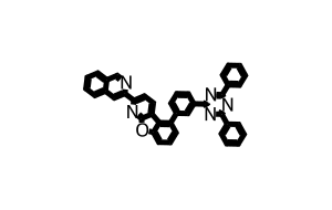 c1ccc(-c2nc(-c3ccccc3)nc(-c3cccc(-c4cccc5oc6nc(-c7cc8ccccc8cn7)ccc6c45)c3)n2)cc1